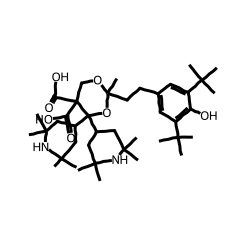 CC1(C)CC(C2(C3CC(C)(C)NC(C)(C)C3)OC(C)(CCc3cc(C(C)(C)C)c(O)c(C(C)(C)C)c3)OCC2(C(=O)O)C(=O)O)CC(C)(C)N1